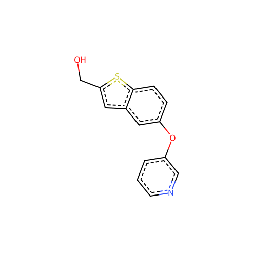 OCc1cc2cc(Oc3cccnc3)ccc2s1